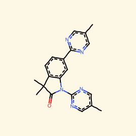 Cc1cnc(-c2ccc3c(c2)N(c2ncc(C)cn2)C(=O)C3(C)C)nc1